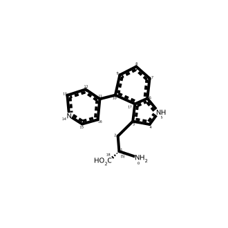 N[C@@H](Cc1c[nH]c2cccc(-c3ccncc3)c12)C(=O)O